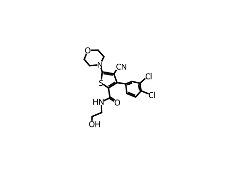 N#Cc1c(N2CCOCC2)sc(C(=O)NCCO)c1-c1ccc(Cl)c(Cl)c1